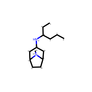 CCCC(CC)NC1CC2CCC(C1)N2C